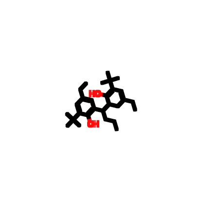 CCCC(c1cc(CC)cc(C(C)(C)C)c1O)C1CC(CC)=CC(C(C)(C)C)=C1O